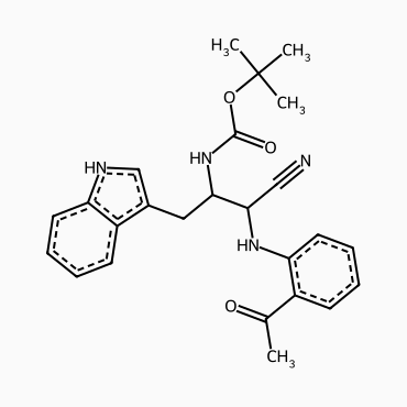 CC(=O)c1ccccc1NC(C#N)C(Cc1c[nH]c2ccccc12)NC(=O)OC(C)(C)C